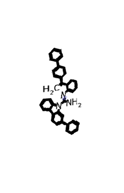 C=C(c1ccc(-c2ccccc2)cc1)c1ccccc1/N=C(\N)n1c2ccccc2c2ccc(-c3ccccc3)cc21